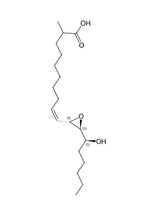 CCCCC[C@H](O)[C@@H]1O[C@H]1/C=C\CCCCCCC(C)C(=O)O